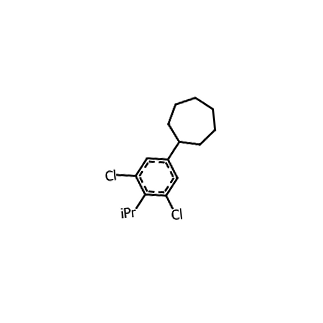 CC(C)c1c(Cl)cc(C2CCCCCC2)cc1Cl